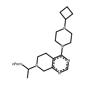 CCCCCC(C)N1CCc2c(ncnc2N2CCN(C3CCC3)CC2)C1